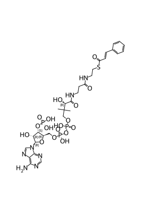 CC(C)(COP(=O)(O)OP(=O)(O)OC[C@H]1O[C@@H](n2cnc3c(N)ncnc32)[C@H](O)[C@@H]1OP(=O)(O)O)[C@@H](O)C(=O)NCCC(=O)NCCSC(=O)C=Cc1ccccc1